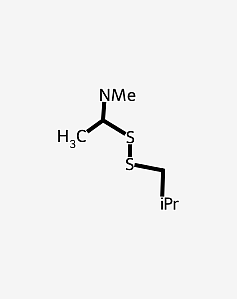 CNC(C)SSCC(C)C